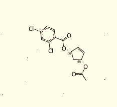 CC(=O)O[C@H]1C=C[C@@H](OC(=O)c2ccc(Cl)cc2Cl)C1